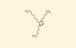 CCCCCCCC1N(CCCCC)C=CN1CCCCC